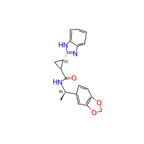 C[C@@H](NC(=O)C1C[C@@H]1c1nc2ccccc2[nH]1)c1ccc2c(c1)OCO2